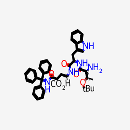 C[C@@H](OC(C)(C)C)[C@H](N)C(=O)NC(Cc1c[nH]c2ccccc12)C(=O)N[C@@H](CCC(=O)NC(c1ccccc1)(c1ccccc1)c1ccccc1)C(=O)O